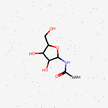 CNC(=O)NC1OC(CO)C(O)C1O